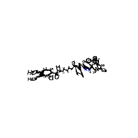 C[C@]1(/C=N/NC(=O)CCCCCNC(=O)c2ccc(O)c(O)c2Cl)CN2C(=O)C[C@H]2S1(=O)=O